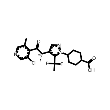 Cc1cncc(Cl)c1C(=O)[C@@H](C)c1cnn(C2CCC(C(=O)O)CC2)c1C(C)(F)F